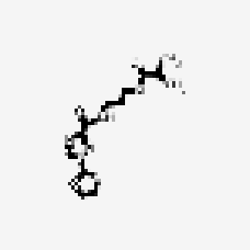 C=C(C)C(=O)NCCCNC(=O)c1nnn(C2OCCO2)n1